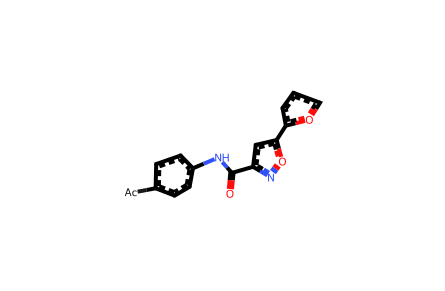 CC(=O)c1ccc(NC(=O)c2cc(-c3ccco3)on2)cc1